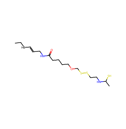 CCB/C=C/CNC(=O)CCCCOCSSCCNC(C)S